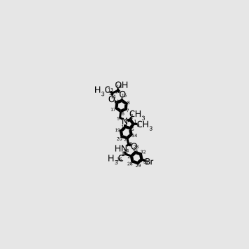 Cc1c(C)n(Cc2cccc(OC(C)C(=O)O)c2)c2ccc(C(=O)N[C@@H](C)c3ccc(Br)cc3)cc12